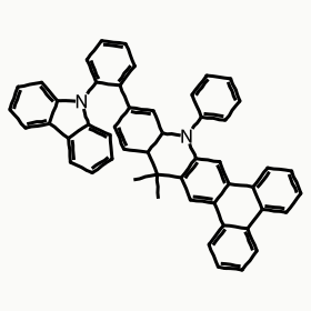 CC1(C)c2cc3c4ccccc4c4ccccc4c3cc2N(c2ccccc2)C2C=C(c3ccccc3-n3c4ccccc4c4ccccc43)C=CC21